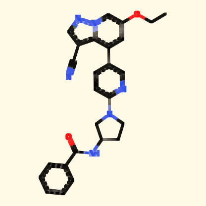 CCOc1cc(-c2ccc(N3CCC(NC(=O)c4ccccc4)C3)nc2)c2c(C#N)cnn2c1